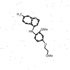 COCCOc1ccc(Nc2ccnc3cc(C)ccc23)c(OC)c1